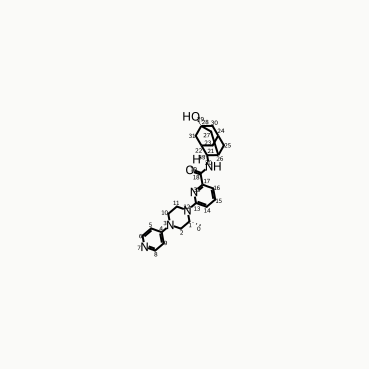 C[C@@H]1CN(c2ccncc2)CCN1c1cccc(C(=O)N[C@H]2C3CC4CC2C[C@](O)(C4)C3)n1